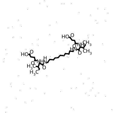 CCC(C)[C@H](NC(=O)CCC(=O)O)C(=O)NCCCCCCCCCCCNC(=O)[C@@H](NC(=O)CCC(=O)O)C(C)CC